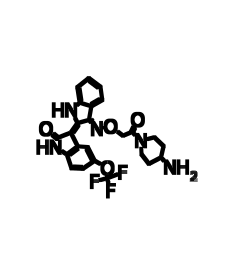 NC1CCN(C(=O)CO/N=C2/C(=C3/C(=O)Nc4ccc(OC(F)(F)F)cc43)Nc3ccccc32)CC1